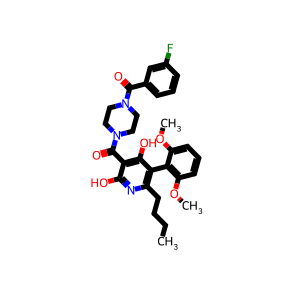 CCCCc1nc(O)c(C(=O)N2CCN(C(=O)c3cccc(F)c3)CC2)c(O)c1-c1c(OC)cccc1OC